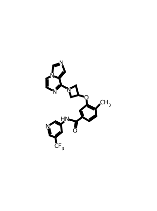 Cc1ccc(C(=O)Nc2cncc(C(F)(F)F)c2)cc1OC1CN(c2nccn3cncc23)C1